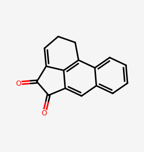 O=C1C(=O)c2cc3ccccc3c3c2C1=CCC3